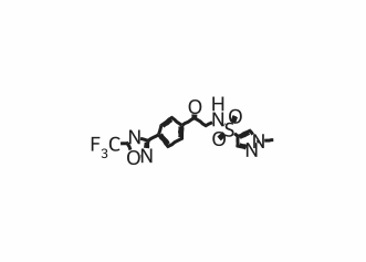 Cn1cc(S(=O)(=O)NCC(=O)c2ccc(-c3noc(C(F)(F)F)n3)cc2)cn1